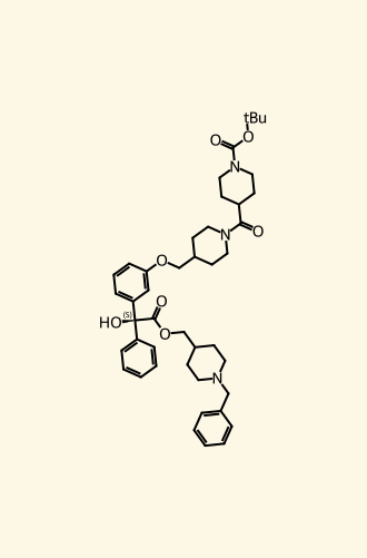 CC(C)(C)OC(=O)N1CCC(C(=O)N2CCC(COc3cccc([C@](O)(C(=O)OCC4CCN(Cc5ccccc5)CC4)c4ccccc4)c3)CC2)CC1